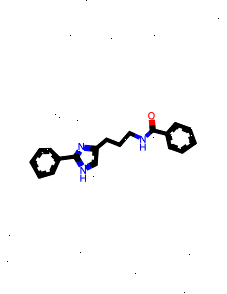 O=C(NCCCc1c[nH]c(-c2ccccc2)n1)c1ccccc1